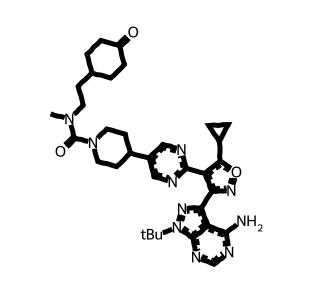 CN(CCC1CCC(=O)CC1)C(=O)N1CCC(c2cnc(-c3c(-c4nn(C(C)(C)C)c5ncnc(N)c45)noc3C3CC3)nc2)CC1